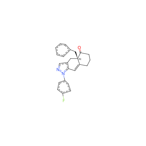 O=C1CCCC2=Cc3c(cnn3-c3ccc(F)cc3)C[C@]12Cc1ccccc1